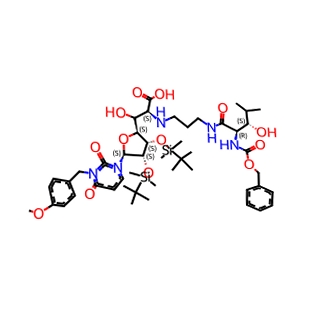 COc1ccc(Cn2c(=O)ccn([C@H]3O[C@@H](C(O)[C@H](NCCCNC(=O)[C@H](NC(=O)OCc4ccccc4)[C@@H](O)C(C)C)C(=O)O)[C@H](O[Si](C)(C)C(C)(C)C)[C@@H]3O[Si](C)(C)C(C)(C)C)c2=O)cc1